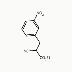 CCOC(=O)C(C#N)Cc1cccc([N+](=O)[O-])c1